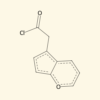 O=C(Cl)Cc1ccc2occcc1-2